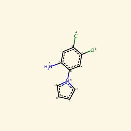 Nc1cc(Cl)c(Cl)cc1-n1cccc1